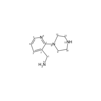 NCc1cccnc1N1CCNCC1